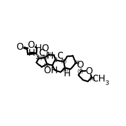 C[C@@H]1CCC[C@H](O[C@@H]2CC[C@]3(C)C4C[C@@H](O)[C@]5(C)[C@@H](C6=CC(=O)OC6)CC[C@]5(O)C4CC[C@@H]3C2)O1